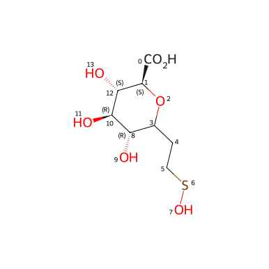 O=C(O)[C@H]1OC(CCSO)[C@H](O)[C@@H](O)[C@@H]1O